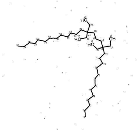 CCCCCCCCCCCCCC(CO)(CO)CCCC(CO)(CO)CCCCCCCCCCCCC